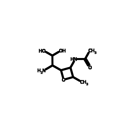 CC(=O)NC1C(C)OC1C(N)C(O)O